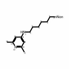 CCCCCCCCCCCCCCCNc1[c]c(C)nc(C)c1